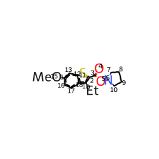 CCc1c(C(=O)ON2CCCC2)sc2cc(OC)ccc12